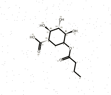 CCCC(=O)OC1C[C@H](C(=O)O)[C@@H](O)[C@H](O)[C@H]1O